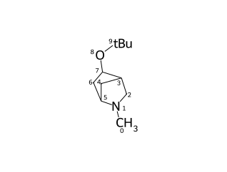 CN1CC2CC1CC2OC(C)(C)C